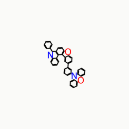 c1ccc(-c2nc3ccccc3c3c2ccc2oc4ccc(-c5cccc(N6c7ccccc7Oc7ccccc76)c5)cc4c23)cc1